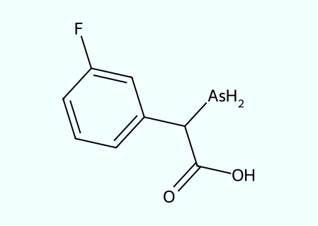 O=C(O)C([AsH2])c1cccc(F)c1